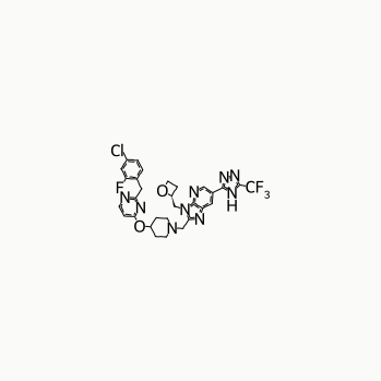 Fc1cc(Cl)ccc1Cc1nccc(OC2CCN(Cc3nc4cc(-c5nnc(C(F)(F)F)[nH]5)cnc4n3C[C@@H]3CCO3)CC2)n1